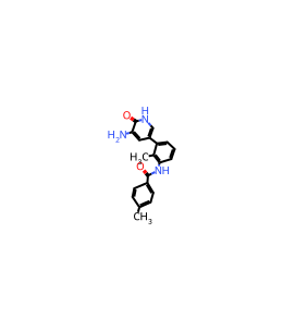 Cc1ccc(C(=O)Nc2cccc(-c3c[nH]c(=O)c(N)c3)c2C)cc1